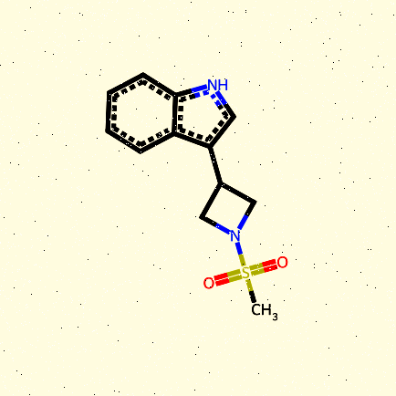 CS(=O)(=O)N1CC(c2c[nH]c3ccccc23)C1